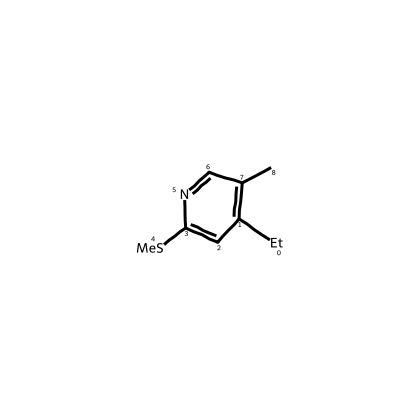 CCc1cc(SC)ncc1C